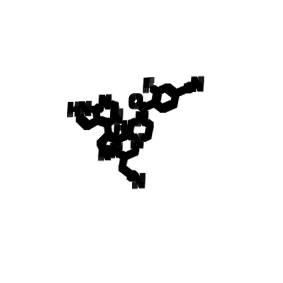 N#CCC1CN2CCN(C(=O)c3ccc(C#N)cc3F)C[C@@H]2c2c(-c3ncnc4[nH]ccc34)cnn21